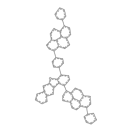 c1ccc(-c2ccc3ccc4c(-c5ccc(-c6ccc(-c7ccc8ccc9c(-c%10ccccc%10)ccc%10ccc7c8c%109)c7c6oc6cc8ccccc8cc67)cc5)ccc5ccc2c3c54)cc1